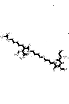 CC(C)C[C@H](NC(=O)[C@@H](N)CC(C)C)C(=O)NCCCNCCCCNC(=O)C(CCCCCNC(=N)N)[C@@H](CO)C(N)=O